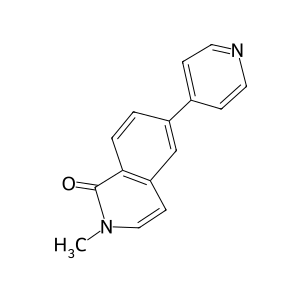 Cn1ccc2cc(-c3ccncc3)ccc2c1=O